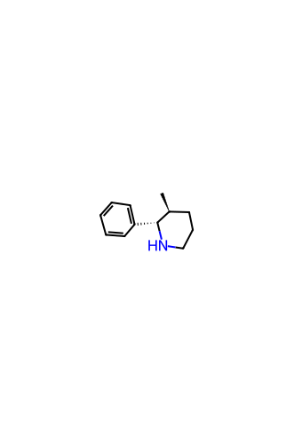 C[C@H]1CCCN[C@@H]1c1ccccc1